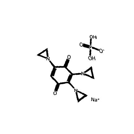 O=C1C=C(N2CC2)C(=O)C(N2CC2)=C1N1CC1.O=P([O-])(O)O.[Na+]